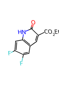 CCOC(=O)c1cc2cc(F)c(F)cc2[nH]c1=O